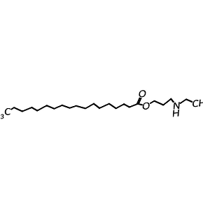 CCCCCCCCCCCCCCCCCC(=O)OCCCNCC